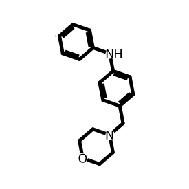 [c]1ccc(Nc2ccc(CN3CCOCC3)cc2)cc1